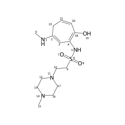 CNC1=CC(NS(=O)(=O)CCN2CCN(C)CC2)=C(O)C=CC1